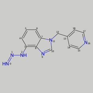 N=NNc1cccc2c1ncn2Cc1ccncc1